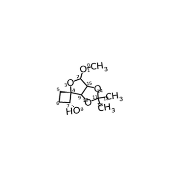 COC1O[C@]2(CC[C@H]2O)C2OC(C)(C)OC12